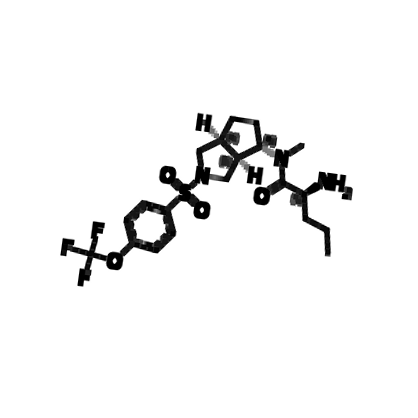 CCC[C@H](N)C(=O)N(C)[C@H]1CC[C@@H]2CN(S(=O)(=O)c3ccc(OC(F)(F)F)cc3)C[C@@H]21